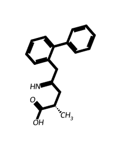 C[C@@H](CC(=N)Cc1ccccc1-c1ccccc1)C(=O)O